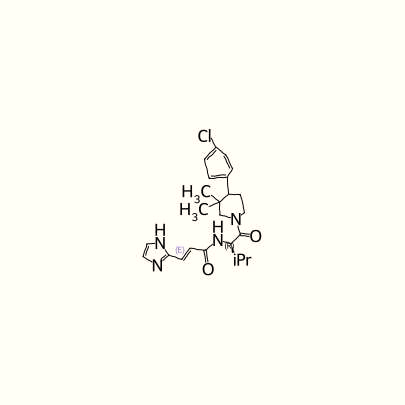 CC(C)[C@@H](NC(=O)/C=C/c1ncc[nH]1)C(=O)N1CCC(c2ccc(Cl)cc2)C(C)(C)C1